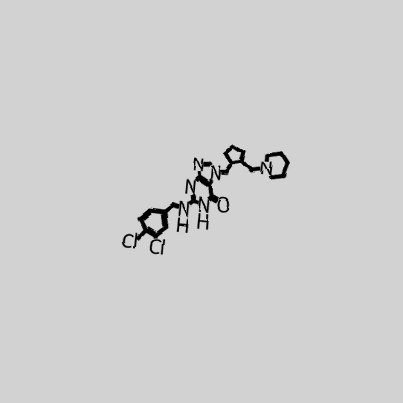 O=c1[nH]c(NCc2ccc(Cl)c(Cl)c2)nc2ncn(CC3CCCC3CN3CCCCC3)c12